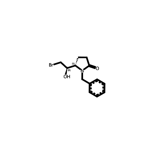 O=C1CC[C@@H]([C@@H](O)CBr)N1Cc1ccccc1